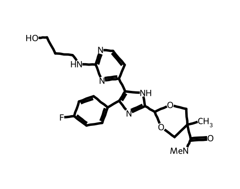 CNC(=O)C1(C)COC(c2nc(-c3ccc(F)cc3)c(-c3ccnc(NCCCO)n3)[nH]2)OC1